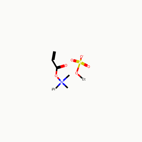 C=CC(=O)O[N+](C)(C)C(C)C.CCOS(=O)(=O)[O-]